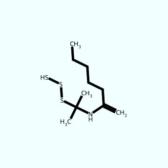 C=C(CCCCC)NC(C)(C)SSS